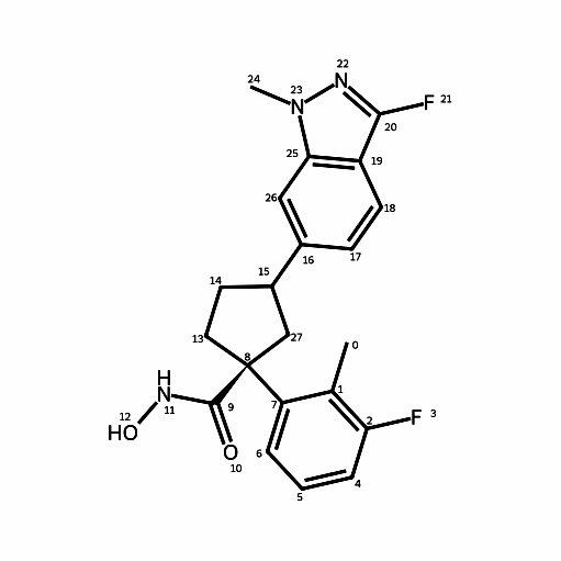 Cc1c(F)cccc1[C@]1(C(=O)NO)CCC(c2ccc3c(F)nn(C)c3c2)C1